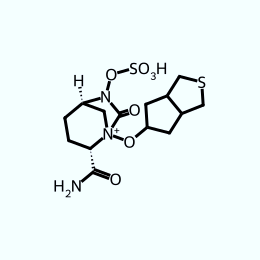 NC(=O)[C@@H]1CC[C@@H]2C[N+]1(OC1CC3CSCC3C1)C(=O)N2OS(=O)(=O)O